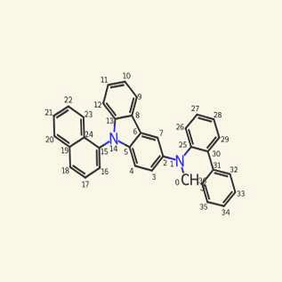 CN(c1ccc2c(c1)c1ccccc1n2-c1cccc2ccccc12)c1ccccc1-c1ccccc1